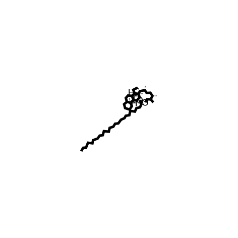 CCCCCCCCCCCCCCCCCCCCCCCC(=O)OCC(C)[C@@H](C)CC[C@@H](C)[C@H]1CC[C@H]2[C@@H]3CCC4CCCC[C@]4(C)[C@H]3CC[C@]12C